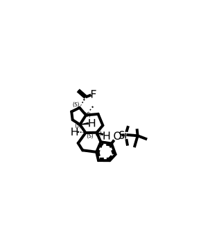 C=C(F)[C@H]1CC[C@H]2[C@@H]3CCc4cccc(O[Si](C)(C)C(C)(C)C)c4[C@H]3CC[C@]12C